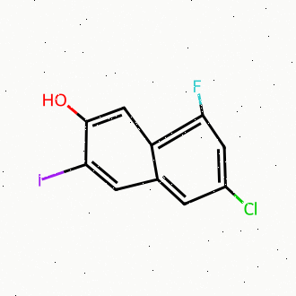 Oc1cc2c(F)cc(Cl)cc2cc1I